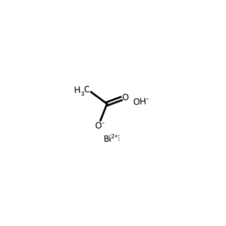 CC(=O)[O-].[Bi+2].[OH-]